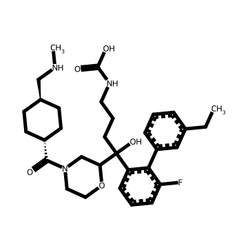 CCc1cccc(-c2c(F)cccc2C(O)(CCCNC(=O)O)C2CN(C(=O)[C@H]3CC[C@H](CNC)CC3)CCO2)c1